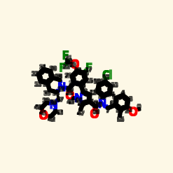 COc1cccc(CN(C(=O)c2cc(-c3cc(F)c(OC(F)F)cc3C(=O)N3Cc4ccccc4C[C@H]3CN3CCOCC3)n(C)c2C)c2ccc(Cl)cc2)c1C